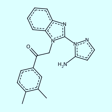 Cc1ccc(C(=O)Cn2c(-n3nccc3N)nc3ccccc32)cc1C